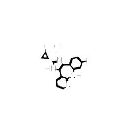 O=C(O)[C@@H]1C[C@@H]1c1nc2c([nH]1)-c1cccnc1Nc1cc(F)ccc1-2